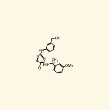 COc1cccc([C@@H](C)Nc2nc(Nc3cccc(CO)c3)ncc2Cl)c1